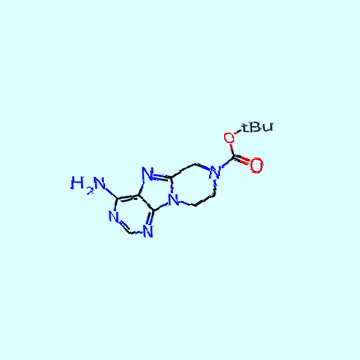 CC(C)(C)OC(=O)N1CCn2c(nc3c(N)ncnc32)C1